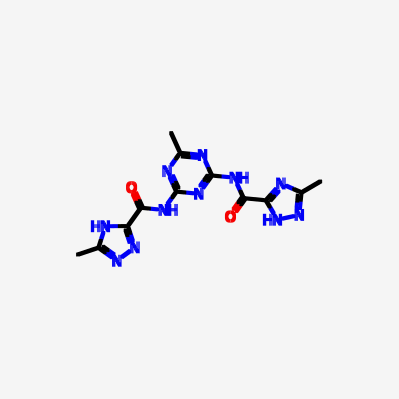 Cc1nc(NC(=O)c2nc(C)n[nH]2)nc(NC(=O)c2nnc(C)[nH]2)n1